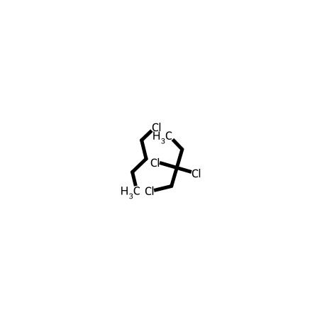 CCC(Cl)(Cl)CCl.CCCCCl